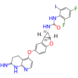 N=C1CCc2c(Oc3ccc4c(c3)[C@H]3[C@H](NC(=O)Nc5c(F)cc(F)cc5I)[C@H]3O4)ccnc2N1